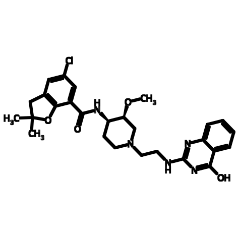 CO[C@H]1CN(CCNc2nc(O)c3ccccc3n2)CC[C@H]1NC(=O)c1cc(Cl)cc2c1OC(C)(C)C2